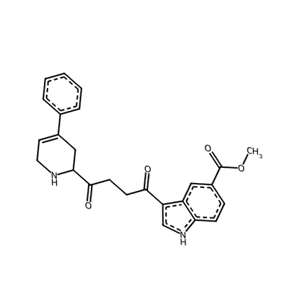 COC(=O)c1ccc2[nH]cc(C(=O)CCC(=O)C3CC(c4ccccc4)=CCN3)c2c1